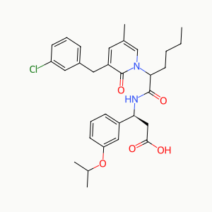 CCCCC(C(=O)N[C@@H](CC(=O)O)c1cccc(OC(C)C)c1)n1cc(C)cc(Cc2cccc(Cl)c2)c1=O